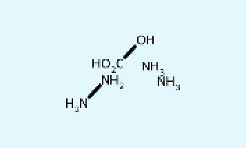 N.N.NN.O=C(O)O